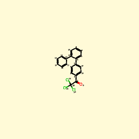 O=C(c1ccc(-c2ccccc2-c2ccccc2)cc1)C(Cl)(Cl)Cl